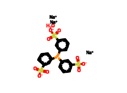 O.O=S(=O)([O-])c1cccc(P(c2cccc(S(=O)(=O)[O-])c2)c2cccc(S(=O)(=O)[O-])c2)c1.[Na+].[Na+].[Na+]